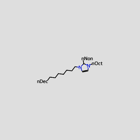 CCCCCCCCCCCCCCCCCN1C=CN(CCCCCCCC)C1CCCCCCCCC